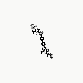 CC(C)C(NC(c1nc(-c2ccc(-c3ccc(-c4c[nH]c([C@@H](N[C@@H](C(=O)NC(=O)O)C(C)C)C(C)C)n4)cc3)cc2)c[nH]1)C(C)C)C(=O)NC(=O)O